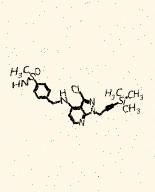 C[Si](C)(C)C#CCn1nc(Cl)c2c(NCc3ccc(S(C)(=N)=O)cc3)ccnc21